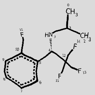 CC(C)N[C@@H](c1ccccc1F)C(F)(F)F